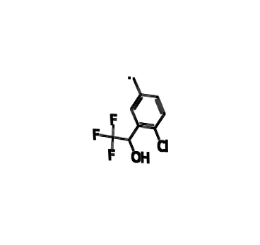 [CH2]c1ccc(Cl)c(C(O)C(F)(F)F)c1